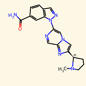 CN1CCC[C@@H]1c1cn2cc(-n3ncc4ccc(C(N)=O)cc43)ncc2n1